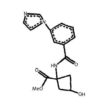 COC(=O)C1(NC(=O)c2cccc(-n3ccnc3)c2)CC(O)C1